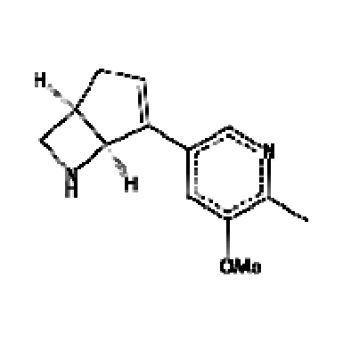 COc1cc(C2=CC[C@@H]3CN[C@H]23)cnc1C